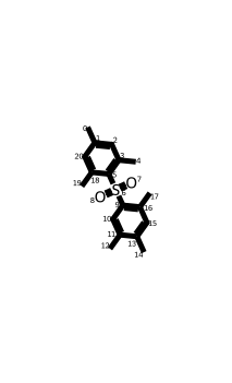 Cc1cc(C)c(S(=O)(=O)c2cc(C)c(C)cc2C)c(C)c1